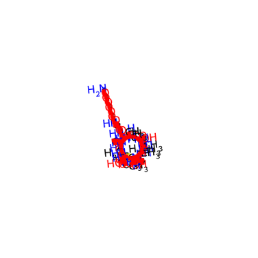 CC(=O)NC(CI)(CC(=O)O)C(=O)N[C@H]1CSSC[C@@H](C(=O)N[C@H](C(=O)O)[C@@H](C)O)NC(=O)[C@H](Cc2c[nH]c3ccccc23)NC(=O)[C@H](C(C)C)NC(=O)[C@H](CC(C)C)NC(=O)[C@H](CCC(=O)O)NC(=O)CNC(=O)[C@H](CC(C)C)NC(=O)[C@H](CCCCNC(=O)OCc2ccc(NC(=O)CCOCCOCCOCCOCCOCCOCCN)cc2)NC(=O)[C@H](Cc2c[nH]c3ccccc23)NC(=O)[C@H](C)NC1=O